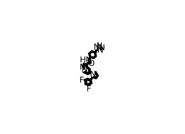 Cn1nnc(C2CCC(NC(=O)c3cnn4ccc(N5CCCC5c5cc(F)cc(F)c5)cc34)CC2)n1